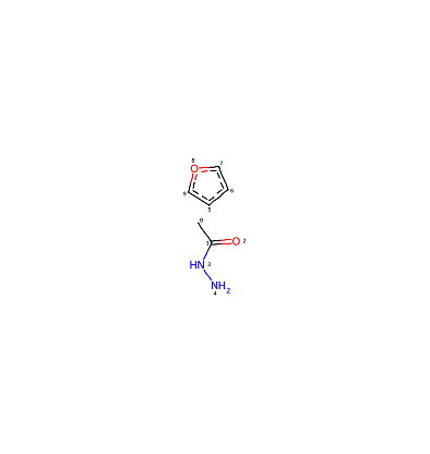 CC(=O)NN.c1ccoc1